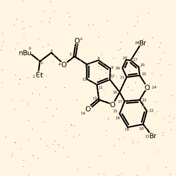 CCCCC(CC)COC(=O)c1ccc2c(c1)C(=O)OC21c2ccc(Br)cc2Oc2cc(Br)ccc21